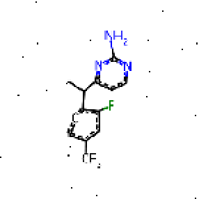 CC(c1ccnc(N)n1)c1ccc(C(F)(F)F)cc1F